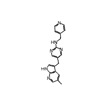 Cc1cnc2[nH]cc(Cc3cnc(NCc4ccncc4)nc3)c2c1